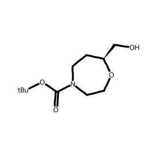 CC(C)(C)OC(=O)N1CCO[C@H](CO)CC1